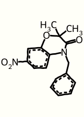 CC1(C)Oc2cc([N+](=O)[O-])ccc2N(Cc2ccccc2)C1=O